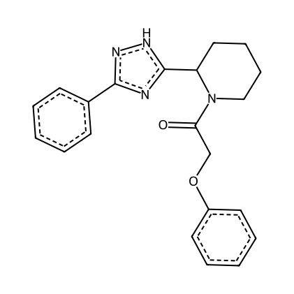 O=C(COc1ccccc1)N1CCCCC1c1nc(-c2ccccc2)n[nH]1